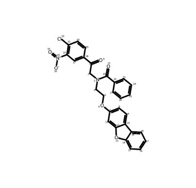 O=C(CN(CCOc1ccc2c(c1)oc1ccccc12)C(=O)c1ccccc1)c1ccc(Cl)c([N+](=O)[O-])c1